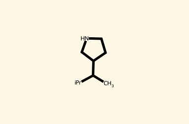 CC(C)C(C)C1CCNC1